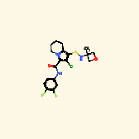 CC1(NSc2c(Cl)c(C(=O)Nc3ccc(F)c(F)c3)n3c2CCCC3)COC1